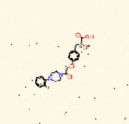 CO[C@@H](Cc1ccc(OCC(=O)N2CCN(c3ccccc3F)CC2)cc1)C(=O)O